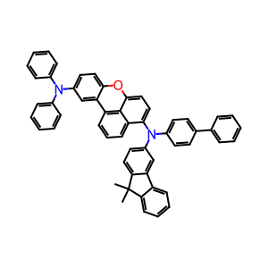 CC1(C)c2ccccc2-c2cc(N(c3ccc(-c4ccccc4)cc3)c3ccc4c5c(cccc35)-c3cc(N(c5ccccc5)c5ccccc5)ccc3O4)ccc21